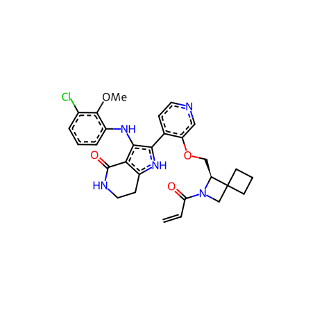 C=CC(=O)N1CC2(CCC2)[C@@H]1COc1cnccc1-c1[nH]c2c(c1Nc1cccc(Cl)c1OC)C(=O)NCC2